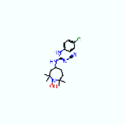 CC1(C)CCC(NC(=NC#N)Nc2ccc(Cl)cc2)CC(C)(C)N1O